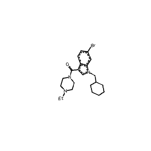 CCN1CCN(C(=O)c2cn(CC3CCCCC3)c3cc(Br)ccc23)CC1